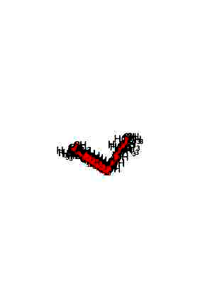 CC(O)C(C)C(C)O.CC(O)CC(C)O.CCC(C(C)O)C(C)O.CCCC(C(C)O)C(C)O.CCCCC(C(C)O)C(C)O.O=C(O)c1ccccc1.O=C(O)c1ccccc1.O=C(O)c1ccccc1.O=C(O)c1ccccc1.O=C(O)c1ccccc1.O=C(O)c1ccccc1.O=C(O)c1ccccc1.O=C(O)c1ccccc1.O=C(O)c1ccccc1.O=C(O)c1ccccc1